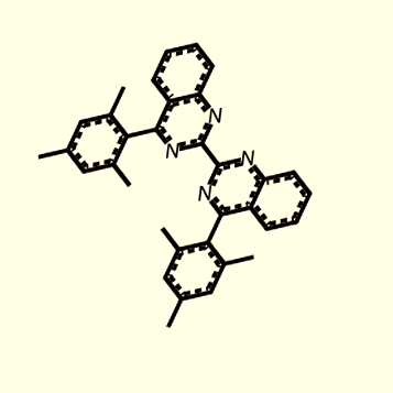 Cc1cc(C)c(-c2nc(-c3nc(-c4c(C)cc(C)cc4C)c4ccccc4n3)nc3ccccc23)c(C)c1